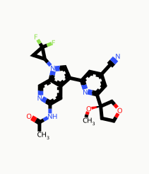 CO[C@]1(c2cc(C#N)cc(-c3cn(C4CC4(F)F)c4cnc(NC(C)=O)cc34)n2)CCOC1